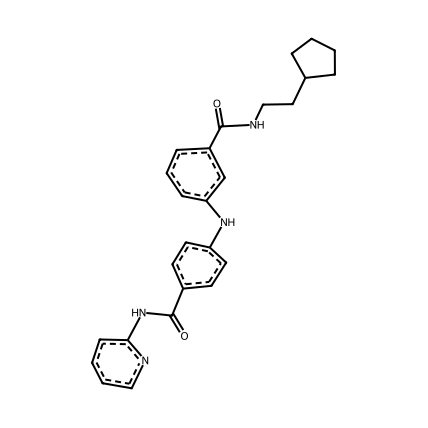 O=C(NCCC1CCCC1)c1cccc(Nc2ccc(C(=O)Nc3ccccn3)cc2)c1